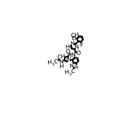 COc1cccc(F)c1-c1nccc(C(=O)Nc2ccc3sc(C)nc3c2N2C[C@H](NC(C)C)C[C@H]2CO)n1